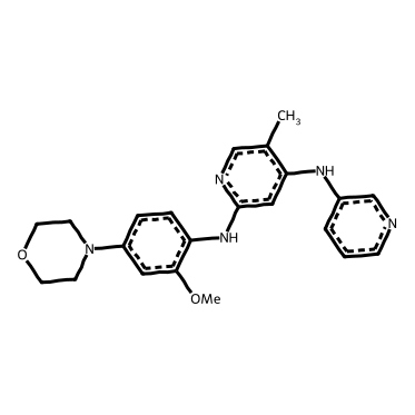 COc1cc(N2CCOCC2)ccc1Nc1cc(Nc2cccnc2)c(C)cn1